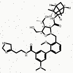 COc1c(CN2O[C@@H](CO)[C@@H]([C@H](C)O)[C@H]2C(=O)N[C@H]2C[C@H]3C[C@@H]([C@@H]2C)C3(C)C)cccc1-c1cc(C(=O)NCCC2=NCNC2)cc(N(C)C)c1